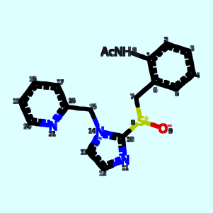 CC(=O)Nc1ccccc1C[S+]([O-])c1nccn1Cc1ccccn1